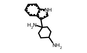 NC1CCC(N)(c2c[nH]c3ccccc23)CC1